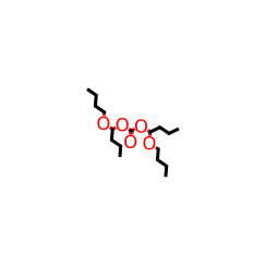 CCCCOC(CCC)OC(=O)OC(CCC)OCCCC